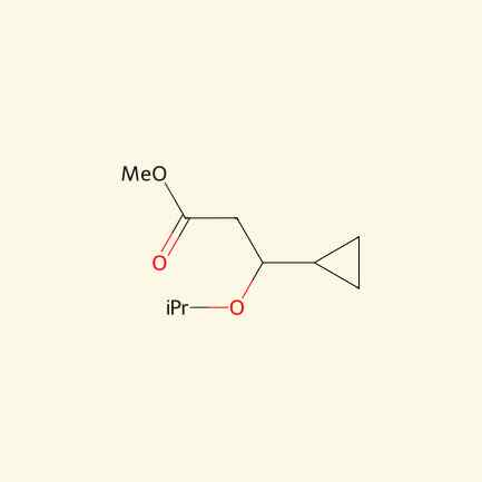 COC(=O)CC(OC(C)C)C1CC1